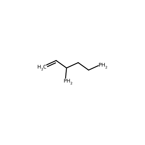 C=CC(P)CCP